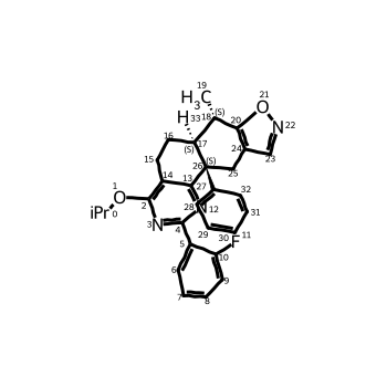 CC(C)Oc1nc(-c2ccccc2F)nc2c1CC[C@H]1[C@H](C)c3oncc3C[C@]21c1ccccc1